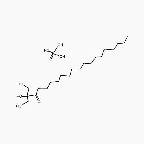 CCCCCCCCCCCCCCCCCC(=O)C(O)(CO)CO.O=P(O)(O)O